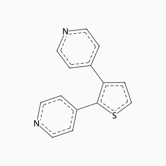 c1cc(-c2ccsc2-c2ccncc2)ccn1